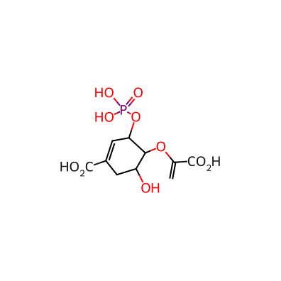 C=C(OC1C(O)CC(C(=O)O)=CC1OP(=O)(O)O)C(=O)O